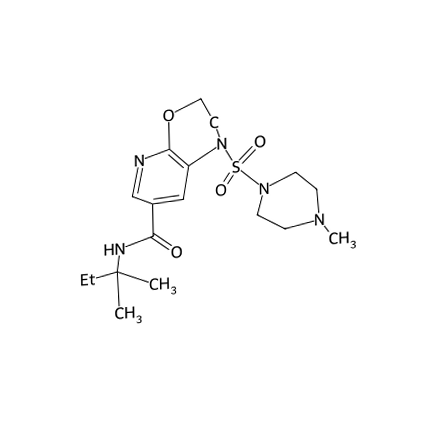 CCC(C)(C)NC(=O)c1cnc2c(c1)N(S(=O)(=O)N1CCN(C)CC1)CCO2